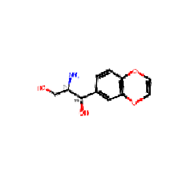 N[C@H](CO)[C@H](O)c1ccc2c(c1)OC=CO2